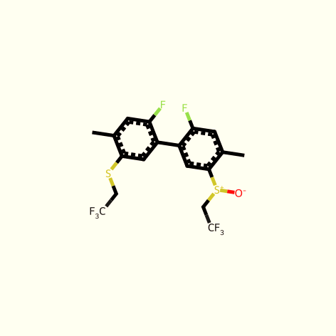 Cc1cc(F)c(-c2cc([S+]([O-])CC(F)(F)F)c(C)cc2F)cc1SCC(F)(F)F